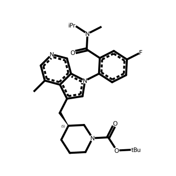 Cc1cncc2c1c(C[C@@H]1CCCN(C(=O)OC(C)(C)C)C1)cn2-c1ccc(F)cc1C(=O)N(C)C(C)C